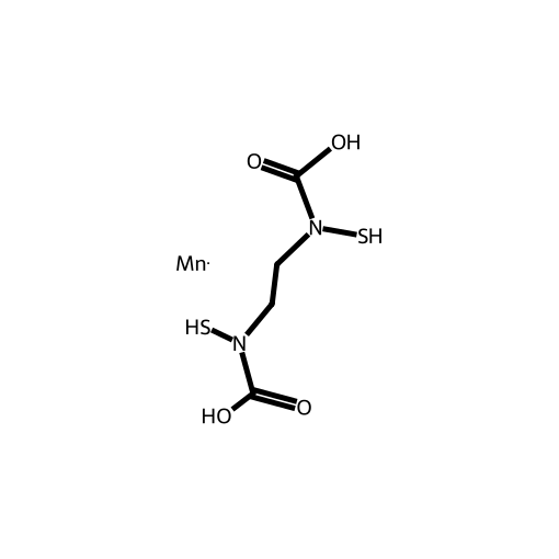 O=C(O)N(S)CCN(S)C(=O)O.[Mn]